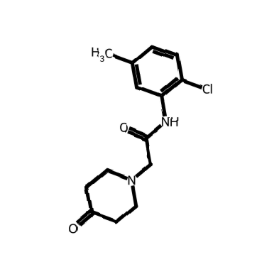 Cc1ccc(Cl)c(NC(=O)CN2CCC(=O)CC2)c1